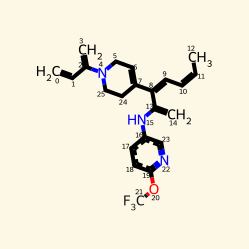 C=CC(=C)N1CC=C(/C(=C/C=C\C)C(=C)Nc2ccc(OC(F)(F)F)nc2)CC1